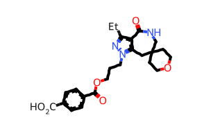 CCc1nn(CCCOC(=O)c2ccc(C(=O)O)cc2)c2c1C(=O)NCC1(CCOCC1)C2